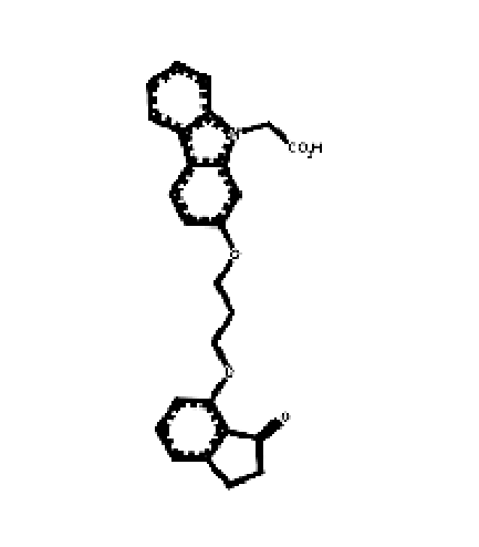 O=C(O)Cn1c2ccccc2c2ccc(OCCCOc3cccc4c3C(=O)CC4)cc21